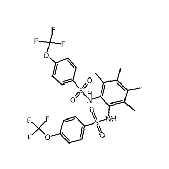 Cc1c(C)c(C)c(NS(=O)(=O)c2ccc(OC(F)(F)F)cc2)c(NS(=O)(=O)c2ccc(OC(F)(F)F)cc2)c1C